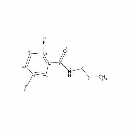 CCCNC(=O)c1cc(F)ccc1F